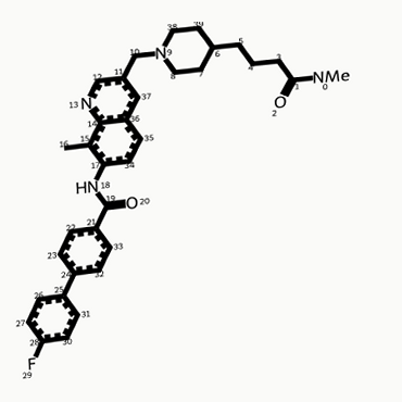 CNC(=O)CCCC1CCN(Cc2cnc3c(C)c(NC(=O)c4ccc(-c5ccc(F)cc5)cc4)ccc3c2)CC1